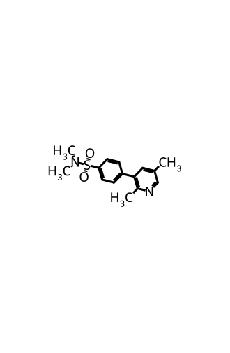 Cc1cnc(C)c(-c2ccc(S(=O)(=O)N(C)C)cc2)c1